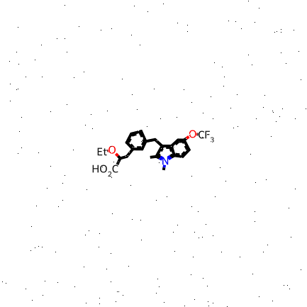 CCOC(Cc1cccc(Cc2c(C)n(C)c3ccc(OC(F)(F)F)cc23)c1)C(=O)O